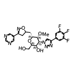 CO[C@@H]1[C@@H](n2cc(-c3cc(F)c(F)c(F)c3)nn2)[C@@H](O)[C@@H](CO)O[C@@H]1CC1CC(c2cncnc2)=NO1